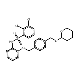 O=S(=O)(Nc1nccnc1OCc1ccc(COC2CCCCO2)cc1)c1cccc(Cl)c1Cl